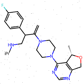 C=C(C(CNC(C)C)c1ccc(F)cc1)N1CCN(c2ncnc3c2[C@H](C)OC3)CC1